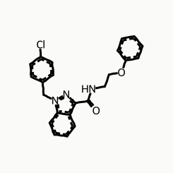 O=C(NCCOc1ccccc1)c1nn(Cc2ccc(Cl)cc2)c2ccccc12